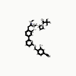 C/N=C(/Cc1ccc(-c2cccc(OCc3ccc(C#N)cc3F)n2)cc1F)NC[C@H]1CCN1C(=O)C(C)(C)C